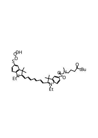 CCN1/C(=C/C=C/C=C/C=C/C2=[N+](CC)c3ccc(S(=O)(=O)N(C)CCCC(=O)C(C)(C)C)cc3C2(C)C)C(C)(C)c2cc(SOOO)ccc21